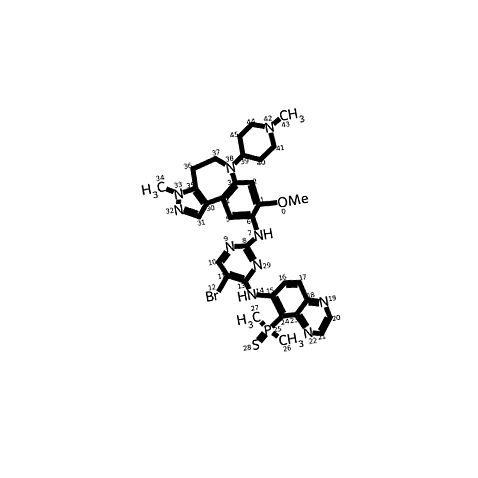 COc1cc2c(cc1Nc1ncc(Br)c(Nc3ccc4nccnc4c3P(C)(C)=S)n1)-c1cnn(C)c1CCN2C1CCN(C)CC1